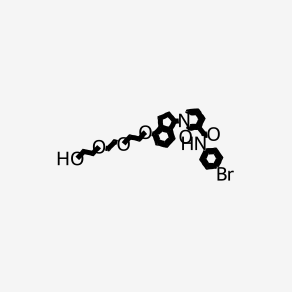 O=C(Nc1ccc(Br)cc1)c1cccn(C2CCc3c(OCCOCCOCCO)cccc32)c1=O